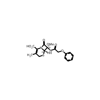 CO[C@@]1(NC(=O)COc2ccccc2)C(=O)N2C(C(=O)O)=C(C)CS[C@H]21